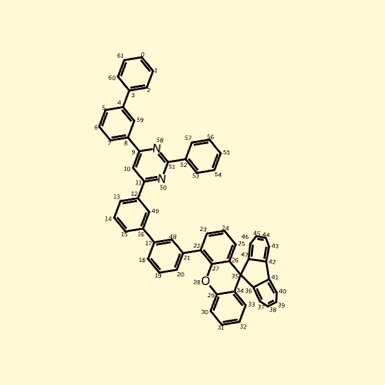 c1ccc(-c2cccc(-c3cc(-c4cccc(-c5cccc(-c6cccc7c6Oc6ccccc6C76c7ccccc7-c7ccccc76)c5)c4)nc(-c4ccccc4)n3)c2)cc1